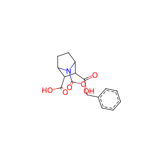 O=C(O)C1C(C(=O)O)C2CCC1N2C(=O)OCc1ccccc1